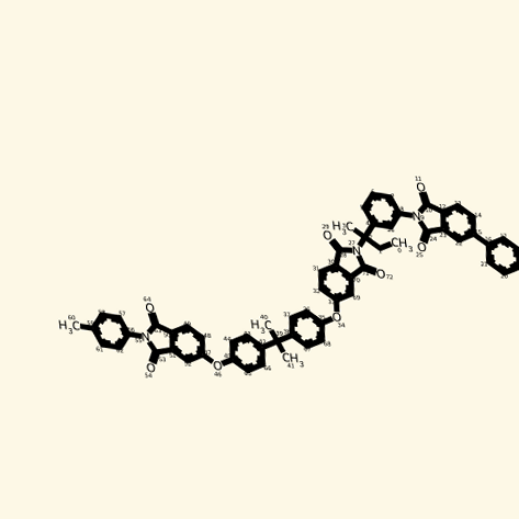 CCC(C)(c1cccc(N2C(=O)c3ccc(-c4ccccc4)cc3C2=O)c1)N1C(=O)c2ccc(Oc3ccc(C(C)(C)c4ccc(Oc5ccc6c(c5)C(=O)N(c5ccc(C)cc5)C6=O)cc4)cc3)cc2C1=O